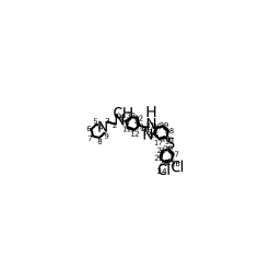 CN(CCN1CCCCC1)c1ccc(-c2nc3cc(Sc4ccc(Cl)c(Cl)c4)ccc3[nH]2)cc1